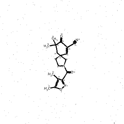 Cc1onc(C(=O)N2CC[C@@]3(C=C(C#N)C(=O)C(C)(C)C3)C2)c1C